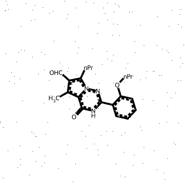 CCCOc1ccccc1-c1nn2c(CCC)c(C=O)c(C)c2c(=O)[nH]1